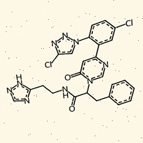 O=C(NCCc1ncn[nH]1)C(Cc1ccccc1)n1cnc(-c2cc(Cl)ccc2-n2cc(Cl)nn2)cc1=O